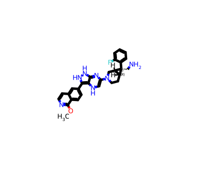 COc1nccc2cc(C3=C4NC=C(N5CC[C@@H]6[C@H](C5)[C@@]6(CN)c5ccccc5F)N=C4NN3)ccc12